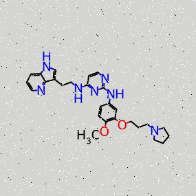 COc1ccc(Nc2nccc(NCCc3c[nH]c4cccnc34)n2)cc1OCCCN1CCCC1